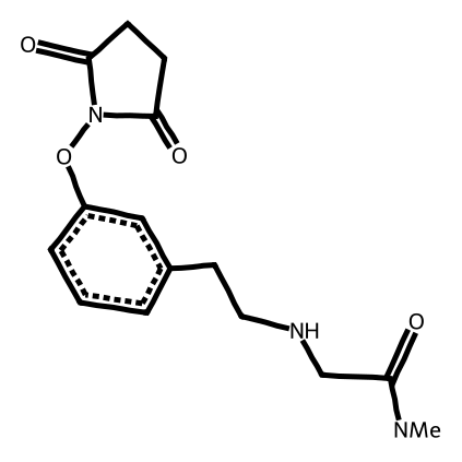 CNC(=O)CNCCc1cccc(ON2C(=O)CCC2=O)c1